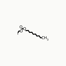 CCCCCCCCCCOC(=O)OCI